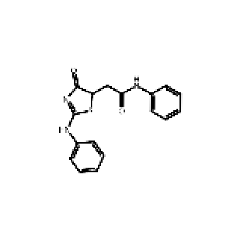 O=C(CC1SC(Nc2ccccc2)=NC1=O)Nc1ccccc1